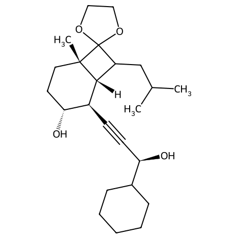 CC(C)CC1[C@@H]2[C@@H](C#C[C@@H](O)C3CCCCC3)[C@H](O)CC[C@]2(C)C12OCCO2